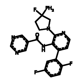 O=C(Nc1c(-c2cc(F)ccc2F)ccnc1N1CCC(F)(P)C1)c1cncnc1